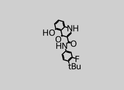 CC(C)(C)c1ccc(NC(=O)c2c[nH]c3cccc(O)c3c2=O)cc1F